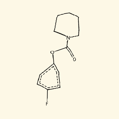 O=C(Oc1ccc(F)cc1)N1CCCCC1